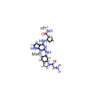 CCCNC(=O)c1sccc1Nc1nc(Nc2cc3c(cc2OC)CCN3C(=O)CN(C)C)nc2[nH]ccc12